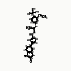 COc1cc(C[C@H](N)CNc2ncc(-c3ccc4c(c3)CC(=O)N4)s2)ccc1C(F)(F)F